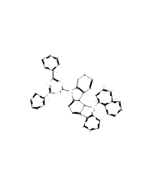 C1=CC2=C(CC1)N(C1N=C(c3ccccc3)N=C(c3ccccc3)N1)C1=CC=C3c4ccccc4N(c4cccc5ccccc45)C3C12